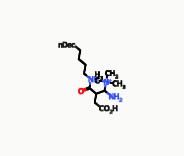 CCCCCCCCCCCCCCNC(=O)C(CC(=O)O)C(N)[N+](C)(C)C